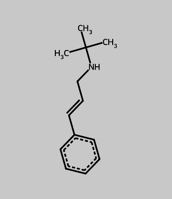 CC(C)(C)NC/C=C/c1ccccc1